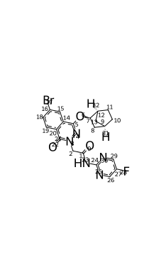 O=C(Cn1nc(O[C@@H]2C[C@@H]3CC[C@H]2C3)c2cc(Br)ccc2c1=O)Nc1ncc(F)cn1